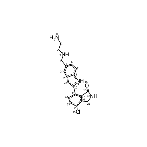 NCCNCc1ccc2[nH]c(-c3ccc(Cl)c4c3C(=O)NC4)cc2c1